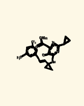 COC(=O)c1nc(C2CC2)nc(NC2(C=Cc3cc(C(F)(F)F)cc(C(F)(F)F)c3)CC2)c1Cl